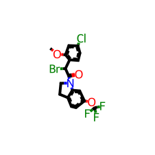 COc1cc(Cl)ccc1C(Br)C(=O)N1CCc2ccc(OC(F)(F)F)cc21